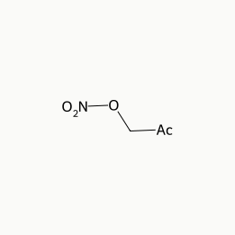 CC(=O)CO[N+](=O)[O-]